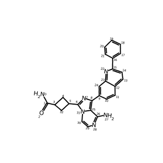 NC(=O)C1CC(c2nc(-c3ccc4ccc(-c5ccccc5)nc4c3)c3c(N)nccn23)C1